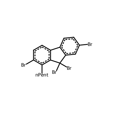 CCCCCc1c(Br)ccc2c1C(Br)(Br)c1cc(Br)ccc1-2